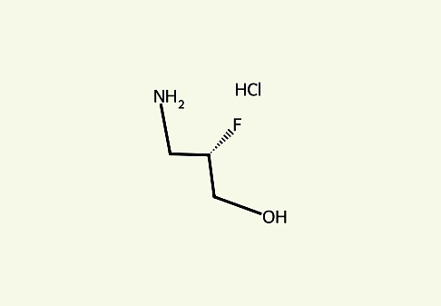 Cl.NC[C@H](F)CO